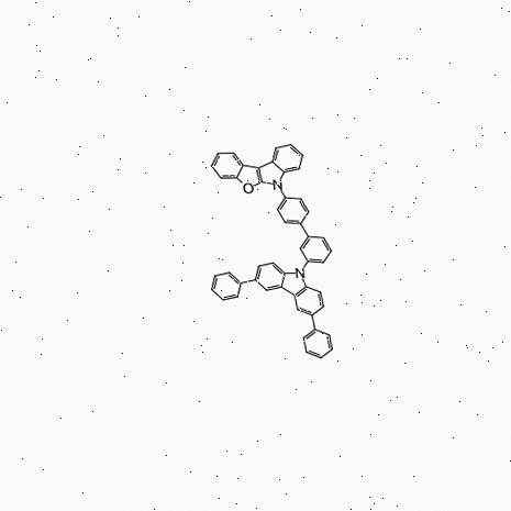 c1ccc(-c2ccc3c(c2)c2cc(-c4ccccc4)ccc2n3-c2cccc(-c3ccc(-n4c5ccccc5c5c6ccccc6oc54)cc3)c2)cc1